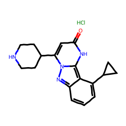 Cl.O=c1cc(C2CCNCC2)n2nc3cccc(C4CC4)c3c2[nH]1